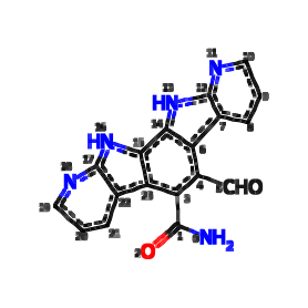 NC(=O)c1c(C=O)c2c3cccnc3[nH]c2c2[nH]c3ncccc3c12